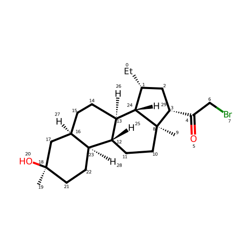 CC[C@@H]1C[C@H](C(=O)CBr)[C@@]2(C)CC[C@H]3[C@@H](CC[C@@H]4C[C@](C)(O)CC[C@@H]43)[C@H]12